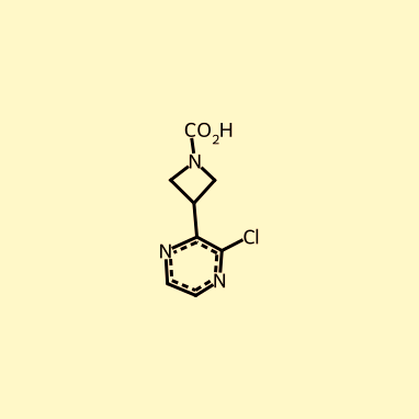 O=C(O)N1CC(c2nccnc2Cl)C1